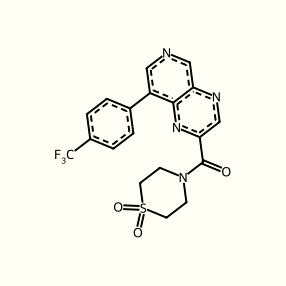 O=C(c1cnc2cncc(-c3ccc(C(F)(F)F)cc3)c2n1)N1CCS(=O)(=O)CC1